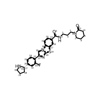 O=C(NCCCN1CCCCC1=O)c1ccc2c(c1)sc1nc(-c3ccc([C@@H]4CCCN4)cc3F)cn12